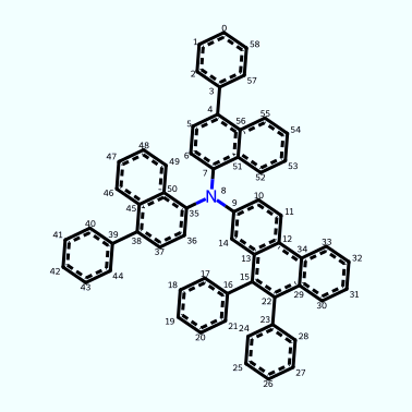 c1ccc(-c2ccc(N(c3ccc4c(c3)c(-c3ccccc3)c(-c3ccccc3)c3ccccc34)c3ccc(-c4ccccc4)c4ccccc34)c3ccccc23)cc1